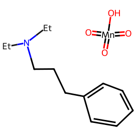 CCN(CC)CCCc1ccccc1.[O]=[Mn](=[O])(=[O])[OH]